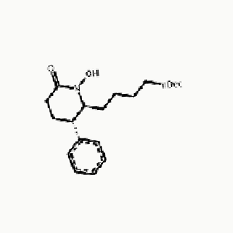 CCCCCCCCCCCCCC[C@H]1[C@H](c2ccccc2)CCC(=O)N1O